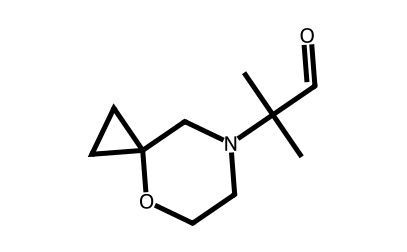 CC(C)(C=O)N1CCOC2(CC2)C1